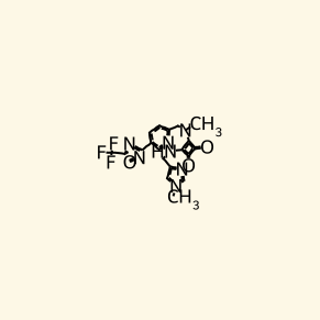 CN(Cc1ccc(-c2noc(C(F)(F)F)n2)cn1)c1c(NCc2cn(C)cn2)c(=O)c1=O